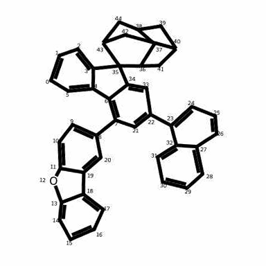 c1ccc2c(c1)-c1c(-c3ccc4oc5ccccc5c4c3)cc(-c3cccc4ccccc34)cc1C21C2CC3CC(C2)CC1C3